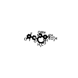 COc1cc2cc(n1)[C@@H](N1CCC(c3c(F)ccc(Cl)c3F)=CC1=O)CCC[C@@H](C)C(=O)Nc1cc(N(C)C(=O)O)ccc1-2